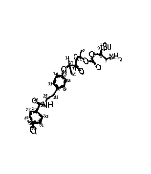 CC(OC(=O)OC(CN)C(C)(C)C)OC(=O)C(C)(C)Oc1ccc(CCNC(=O)c2ccc(Cl)cc2)cc1